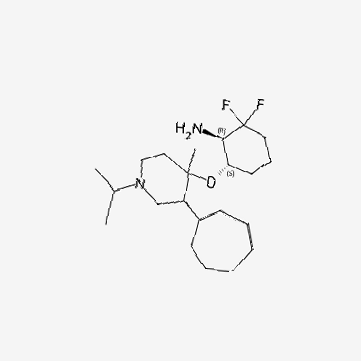 CC(C)N1CCC(C)(O[C@H]2CCCC(F)(F)[C@@H]2N)C(C2CCCCCC2)C1